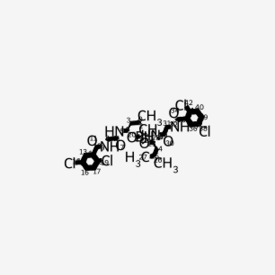 CC(C)C[C@H](NC(=O)CNC(=O)c1cc(Cl)ccc1Cl)OBO[C@H](CC(C)C)NC(=O)CNC(=O)c1cc(Cl)ccc1Cl